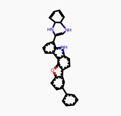 C1=CC2NC=C(c3cccc4c3[nH]c3ccc5c6cc(-c7ccccc7)ccc6oc5c34)NC2C=C1